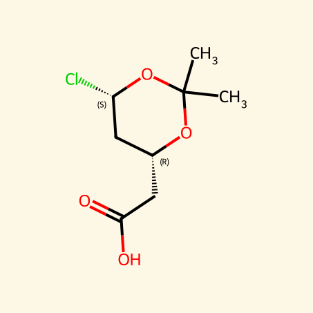 CC1(C)O[C@H](CC(=O)O)C[C@H](Cl)O1